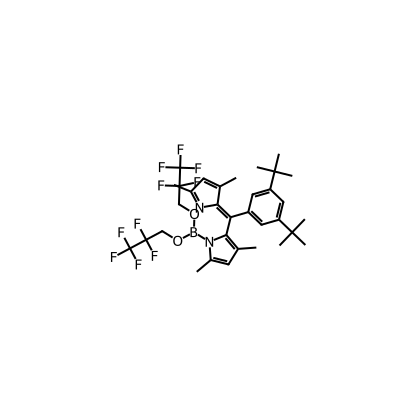 CC1=CC(C)=N/C1=C(/c1cc(C(C)(C)C)cc(C(C)(C)C)c1)c1c(C)cc(C)n1B(OCC(F)(F)C(F)(F)F)OCC(F)(F)C(F)(F)F